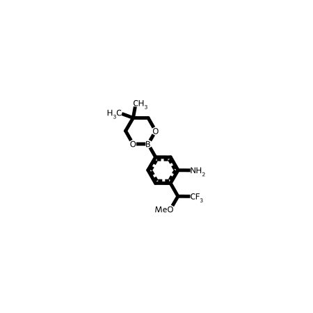 COC(c1ccc(B2OCC(C)(C)CO2)cc1N)C(F)(F)F